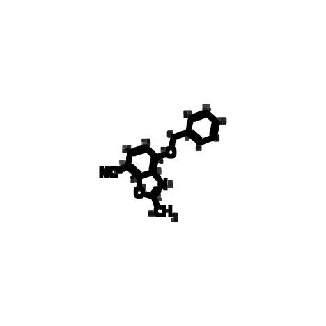 Cc1nc2c(OCc3ccccc3)ccc(C#N)c2o1